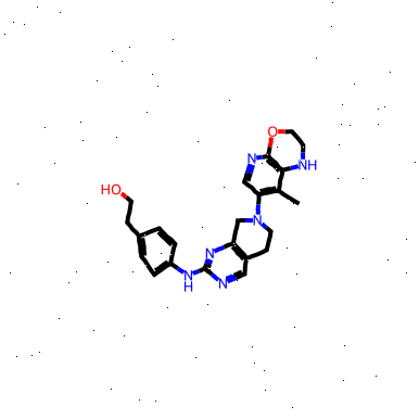 Cc1c(N2CCc3cnc(Nc4ccc(CCO)cc4)nc3C2)cnc2c1NCCO2